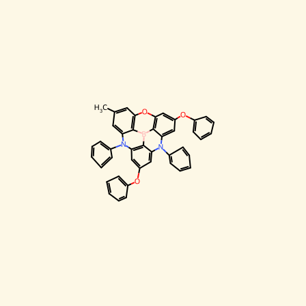 Cc1cc2c3c(c1)N(c1ccccc1)c1cc(Oc4ccccc4)cc4c1B3c1c(cc(Oc3ccccc3)cc1N4c1ccccc1)O2